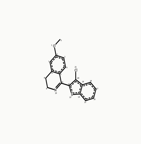 COc1ccc2c(c1)CCN=C2c1sc2ccccc2c1Cl